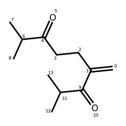 C=C(CCC(=O)C(C)C)C(=O)C(C)C